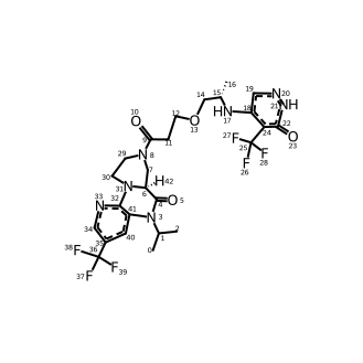 CC(C)N1C(=O)[C@@H]2CN(C(=O)CCOC[C@H](C)Nc3cn[nH]c(=O)c3C(F)(F)F)CCN2c2ncc(C(F)(F)F)cc21